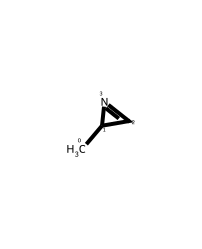 CC1C=N1